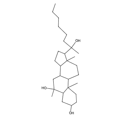 CCCCCCC(C)(O)C1CCC2C3CC(C)(O)C4CC(O)CCC4(C)C3CCC21C